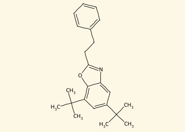 CC(C)(C)c1cc(C(C)(C)C)c2oc(CCc3ccccc3)nc2c1